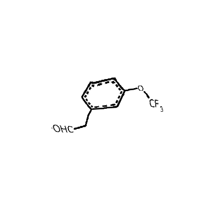 O=[C]Cc1cccc(OC(F)(F)F)c1